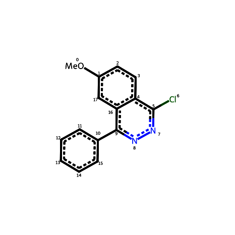 COc1ccc2c(Cl)nnc(-c3ccccc3)c2c1